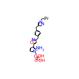 CC(C)Cn1cc(Cc2ccc(Cc3cc(-c4ccc[n+](COP(=O)(O)O)c4N)on3)cc2)cn1